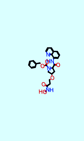 O=C(CCO[C@@H]1CC(C(=O)Nc2cccc3cccnc23)N(C(=O)OCc2ccccc2)C1)NO